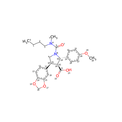 CCCCN(C)C(=O)N1C[C@H](c2ccc3c(c2)OCO3)[C@H](C(=O)O)[C@H]1c1ccc(OC)cc1